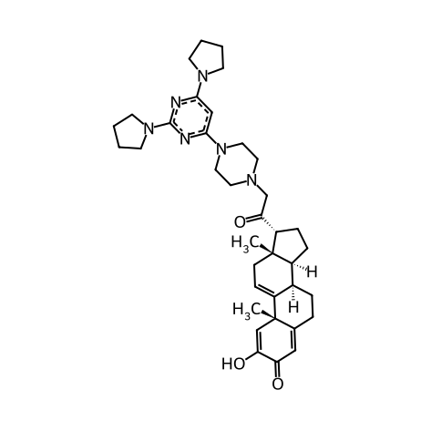 C[C@]12C=C(O)C(=O)C=C1CC[C@H]1C2=CC[C@]2(C)[C@H](C(=O)CN3CCN(c4cc(N5CCCC5)nc(N5CCCC5)n4)CC3)CC[C@@H]12